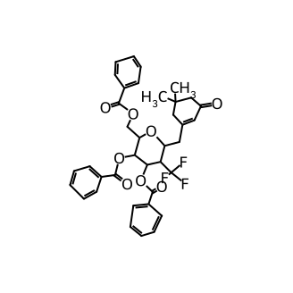 CC1(C)CC(=O)C=C(CC2OC(COC(=O)c3ccccc3)C(OC(=O)c3ccccc3)C(OC(=O)c3ccccc3)C2C(F)(F)F)C1